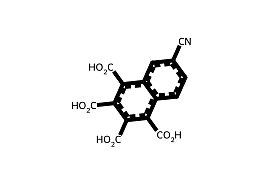 N#Cc1ccc2c(C(=O)O)c(C(=O)O)c(C(=O)O)c(C(=O)O)c2c1